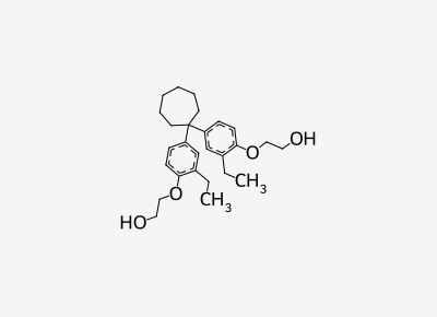 CCc1cc(C2(c3ccc(OCCO)c(CC)c3)CCCCCC2)ccc1OCCO